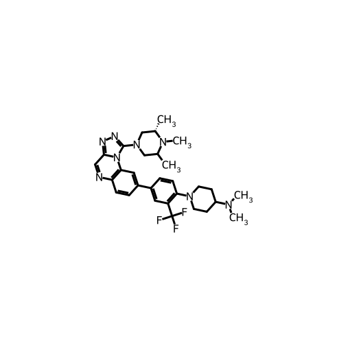 CC1CN(c2nnc3cnc4ccc(-c5ccc(N6CCC(N(C)C)CC6)c(C(F)(F)F)c5)cc4n23)C[C@H](C)N1C